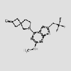 CNc1nc(N2CCC3(CC(=O)C3)C2)c2cc(CC(F)(F)F)sc2n1